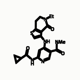 CCN1CCc2scc(Nc3cc(NC(=O)C4CC4)ncc3C(=O)NC)c2C1=O